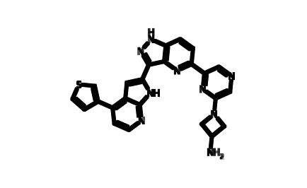 NC1CN(c2cncc(-c3ccc4[nH]nc(-c5cc6c(-c7ccsc7)ccnc6[nH]5)c4n3)n2)C1